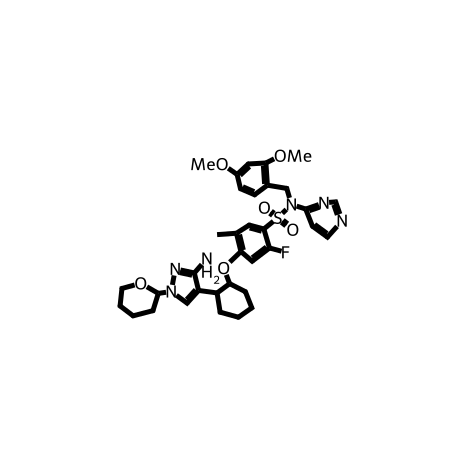 COc1ccc(CN(c2ccncn2)S(=O)(=O)c2cc(C)c(OC3CCCCC3c3cn(C4CCCCO4)nc3N)cc2F)c(OC)c1